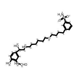 NS(=O)(=O)c1cccc(CCCCOCCCCCCNC[C@H](O)c2ccc(O)c(NC=O)c2)c1